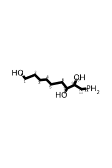 OCCCCCCC(O)C(O)CP